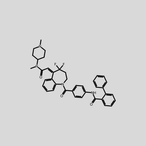 CN1CCC(N(C)C(=O)/C=C2\c3ccccc3N(C(=O)c3ccc(NC(=O)c4ccccc4-c4ccccc4)cc3)CCC2(F)F)CC1